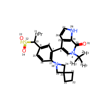 [2H]C([2H])([2H])n1cc(-c2cc(C(CCC)[SH](=O)=O)ccc2N2CC3(CCC3)C2)c2cc[nH]c2c1=O